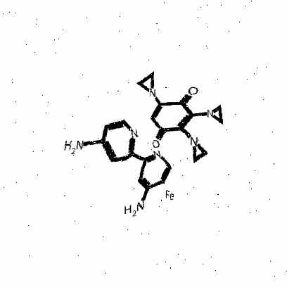 Nc1ccnc(-c2cc(N)ccn2)c1.O=C1C=C(N2CC2)C(=O)C(N2CC2)=C1N1CC1.[Fe]